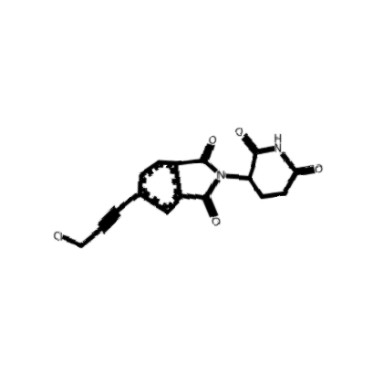 O=C1CCC(N2C(=O)c3ccc(C#CCCl)cc3C2=O)C(=O)N1